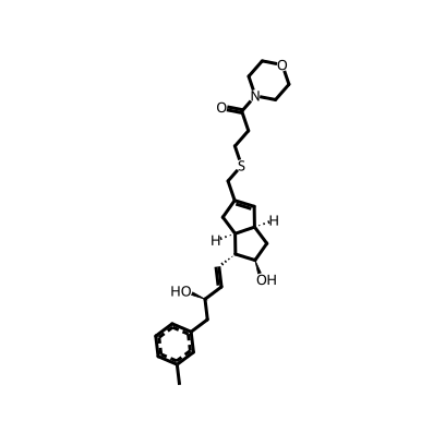 Cc1cccc(C[C@@H](O)/C=C/[C@@H]2[C@H]3CC(CSCCC(=O)N4CCOCC4)=C[C@H]3C[C@H]2O)c1